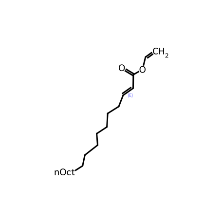 C=COC(=O)/C=C/CCCCCCCCCCCCCCC